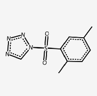 Cc1ccc(C)c(S(=O)(=O)n2cnnn2)c1